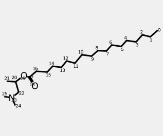 CCCCCCCCCCCCCCCCCC(=O)OC(C)CN(C)C